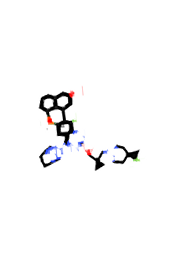 C#Cc1cccc2cc(O)cc(-c3c(Cl)cc4c(N5CC6CCC(C5)N6)nc(OCC5(CN6CCC7(CC6)CC7(F)F)CC5)nc4c3F)c12